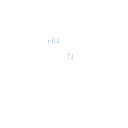 CC[N@@]1CN1